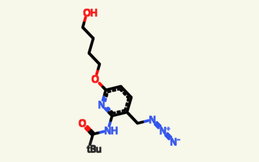 CC(C)(C)C(=O)Nc1nc(OCCCCO)ccc1CN=[N+]=[N-]